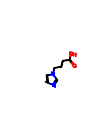 O=C(O)CCCn1c[c]nc1